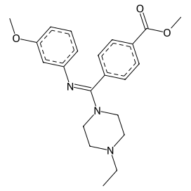 CCN1CCN(C(=Nc2cccc(OC)c2)c2ccc(C(=O)OC)cc2)CC1